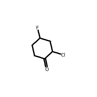 O=C1CCC(F)[CH]C1Cl